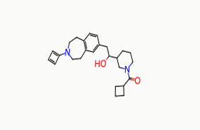 O=C(C1CCC1)N1CCCC(C(O)Cc2ccc3c(c2)CCN(C2=CC=C2)CC3)C1